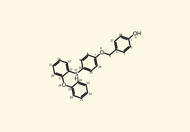 Oc1ccc(COc2ccc([SH]3c4ccccc4Oc4ccccc43)cc2)cc1